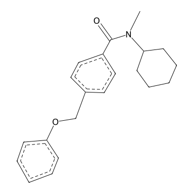 CN(C(=O)c1ccc(COc2ccccc2)cc1)C1CCCCC1